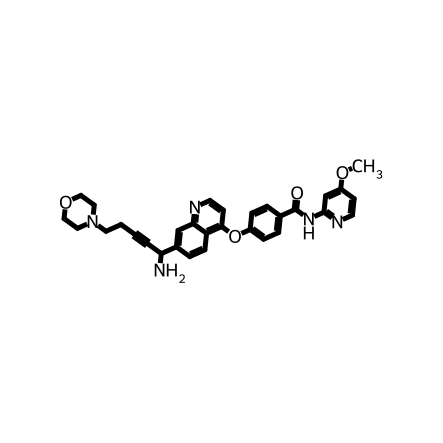 COc1ccnc(NC(=O)c2ccc(Oc3ccnc4cc(C(N)C#CCCN5CCOCC5)ccc34)cc2)c1